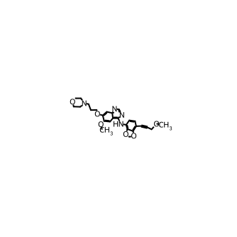 COCC#Cc1ccc(Nc2ncnc3cc(OCCCN4CCOCC4)c(OC)cc23)c2c1OCO2